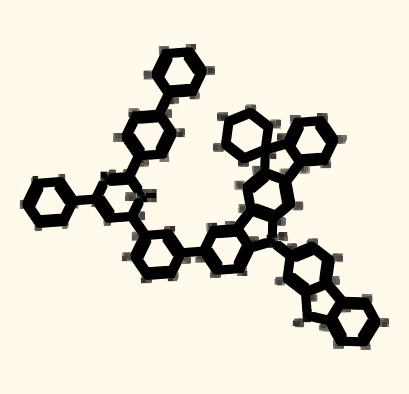 C1=C(c2ccccc2)N=C(c2ccc(-c3ccccc3)cc2)NC1c1cccc(-c2ccc3c(c2)c2cc4c(cc2n3-c2ccc3c(c2)sc2ccccc23)-c2ccccc2C42CCCCC2)c1